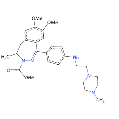 CNC(=O)N1N=C(c2ccc(NCCN3CCN(C)CC3)cc2)c2cc(OC)c(OC)cc2CC1C